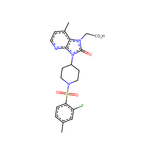 Cc1ccc(S(=O)(=O)N2CCC(n3c(=O)n(CC(=O)O)c4c(C)ccnc43)CC2)c(F)c1